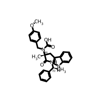 COc1ccc(CN(C(=O)O)[C@](C)(Cc2c[nH]c3ccccc23)C(=O)N[C@@H](C)c2ccccc2)cc1